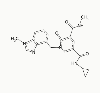 CNC(=O)c1cc(C(=O)NC2CC2)cn(Cc2cccc3c2ncn3C)c1=O